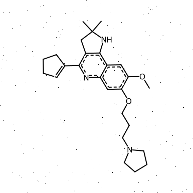 COc1cc2c3c(c(C4=CCCC4)nc2cc1OCCCN1CCCC1)CC(C)(C)N3